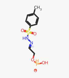 Cc1ccc(S(=O)(=O)N/N=C/CO[PH](=O)O)cc1